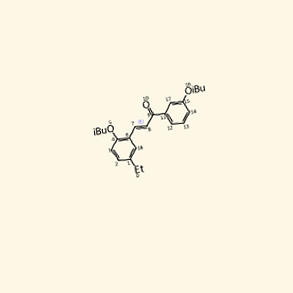 CCc1ccc(OCC(C)C)c(/C=C/C(=O)c2cccc(OCC(C)C)c2)c1